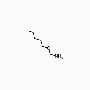 CCCCCO[CH]N